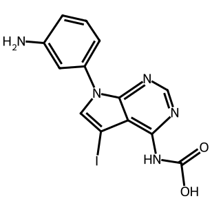 Nc1cccc(-n2cc(I)c3c(NC(=O)O)ncnc32)c1